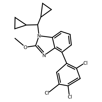 COc1nc2c(-c3cc(Cl)c(Cl)cc3Cl)cccc2n1C(C1CC1)C1CC1